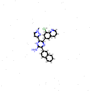 Cn1ccc(-c2nc(N)c(-c3ccc4ccccc4c3)nc2-c2cc(Cl)c3ncccc3c2)n1